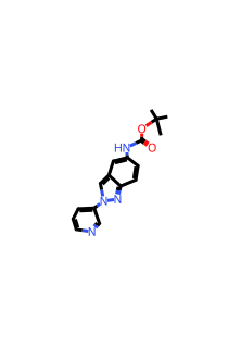 CC(C)(C)OC(=O)Nc1ccc2nn(-c3cccnc3)cc2c1